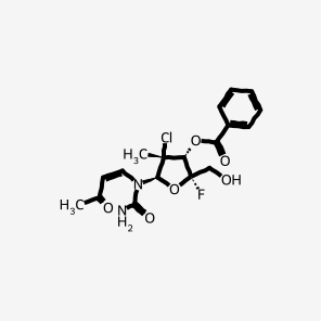 CC(=O)/C=C\N(C(N)=O)[C@@H]1O[C@](F)(CO)[C@@H](OC(=O)c2ccccc2)[C@@]1(C)Cl